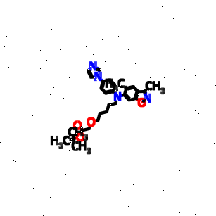 Cc1cc2c(C)noc2cc1N(CCCCCOCC(=O)OC(C)(C)C)c1ccc(-n2ccnc2)cc1